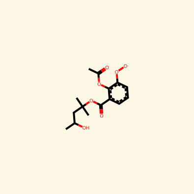 CC(=O)Oc1c(O[O])cccc1C(=O)OC(C)(C)CC(C)O